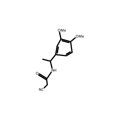 COc1ccc(C(C)NC(=O)CC#N)cc1OC